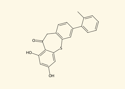 Cc1ccccc1-c1ccc2c(c1)Sc1cc(O)cc(O)c1C(=O)C2